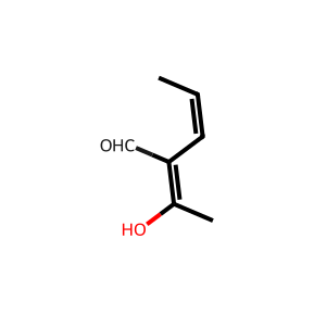 C/C=C\C(C=O)=C(/C)O